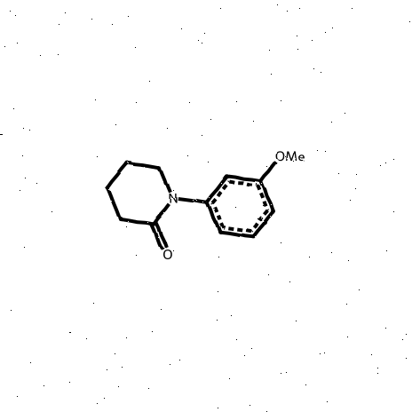 COc1cccc(N2CCCCC2=O)c1